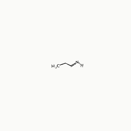 [3H]N=CCC